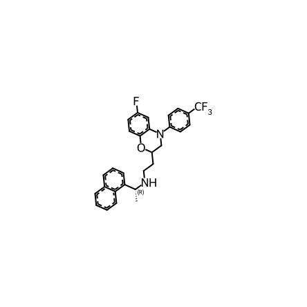 C[C@@H](NCCC1CN(c2ccc(C(F)(F)F)cc2)c2cc(F)ccc2O1)c1cccc2ccccc12